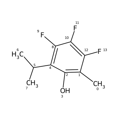 Cc1c(O)c(C(C)C)c(F)c(F)c1F